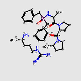 CCC(C)[C@H](NP(=O)(Cc1ccccc1)Cc1ccccc1)C(=O)N1CCC[C@H]1C(=O)N1CCC[C@H]1C(=O)O.N=C(N)NCCC[C@H](N)C(=O)O